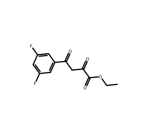 CCOC(=O)C(=O)CC(=O)c1cc(F)cc(F)c1